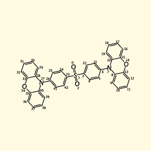 O=S(=O)(c1ccc(N2c3ccccc3Oc3ccccc32)cc1)c1ccc(N2c3ccccc3Oc3ccccc32)cc1